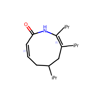 CC(C)/C1=C(\C(C)C)NC(=O)/C=C\CC(C(C)C)C1